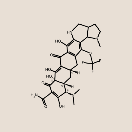 CN1CCC2CNc3c(O)c4c(c(OC(F)(F)F)c3C21)C[C@@H]1C[C@@H]2[C@@H](N(C)C)C(O)=C(C(N)=O)C(=O)[C@@]2(O)C(O)=C1C4=O